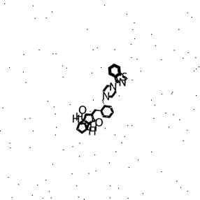 O=C1C(C[C@@H]2CCCC[C@H]2CN2CCN(c3nsc4ccccc34)CC2)C(=O)[C@H]2[C@@H]3CC[C@@H](C3)[C@@H]12